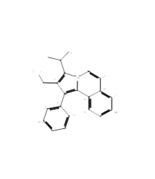 CC(C)c1c(CO)c(-c2ccccc2)c2c3ccccc3ccn12